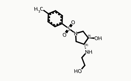 Cc1ccc(S(=O)(=O)N2C[C@@H](O)[C@H](NCCO)C2)cc1